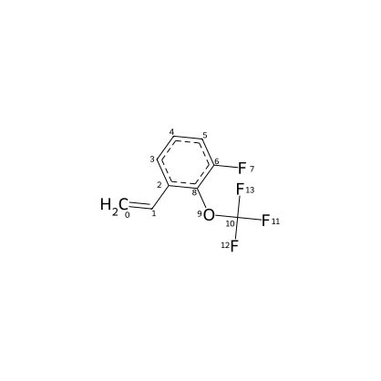 C=Cc1cccc(F)c1OC(F)(F)F